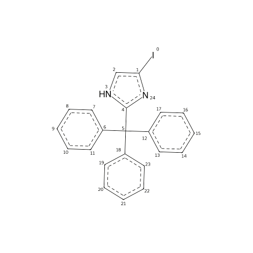 Ic1c[nH]c(C(c2ccccc2)(c2ccccc2)c2ccccc2)n1